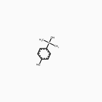 C[Si](C)(O)c1ccc(O)cc1